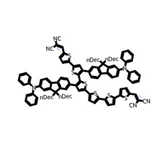 [C-]#[N+]/C(C#N)=C\c1ccc(-c2ccc(-c3ccc(-c4cc(-c5ccc6c(c5)C(CCCCCCCCCC)(CCCCCCCCCC)c5cc(N(c7ccccc7)c7ccccc7)ccc5-6)c(-c5sc(-c6ccc(/C=C(\C#N)[N+]#[C-])s6)cc5-c5ccc6c(c5)C(CCCCCCCCCC)(CCCCCCCCCC)c5cc(N(c7ccccc7)c7ccccc7)ccc5-6)s4)s3)s2)s1